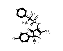 BC(B)(c1ccccc1)S(=O)(=O)OC1=C(N)O[C@](B)(c2ccc(Cl)cc2)C1=O